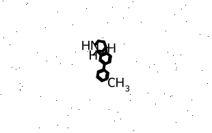 Cc1cccc(-c2ccc3c(c2)[C@H]2C[C@H]3CCN2)c1